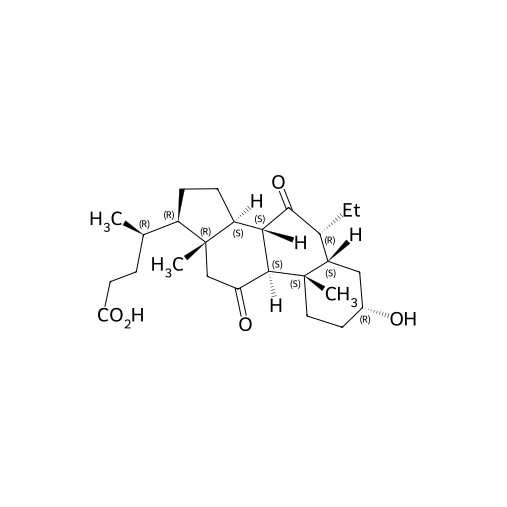 CC[C@H]1C(=O)[C@H]2[C@@H]3CC[C@H]([C@H](C)CCC(=O)O)[C@@]3(C)CC(=O)[C@@H]2[C@@]2(C)CC[C@@H](O)C[C@@H]12